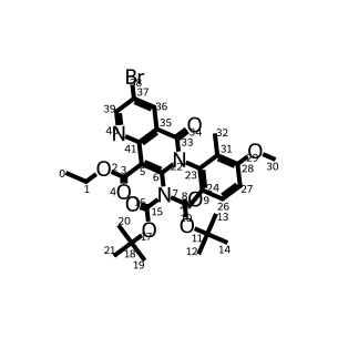 CCOC(=O)c1c(N(C(=O)OC(C)(C)C)C(=O)OC(C)(C)C)n(-c2c(C)ccc(OC)c2C)c(=O)c2cc(Br)cnc12